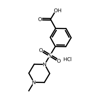 CN1CCN(S(=O)(=O)c2cccc(C(=O)O)c2)CC1.Cl